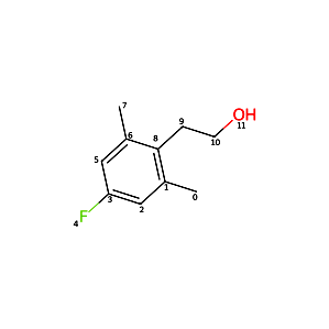 Cc1cc(F)cc(C)c1CCO